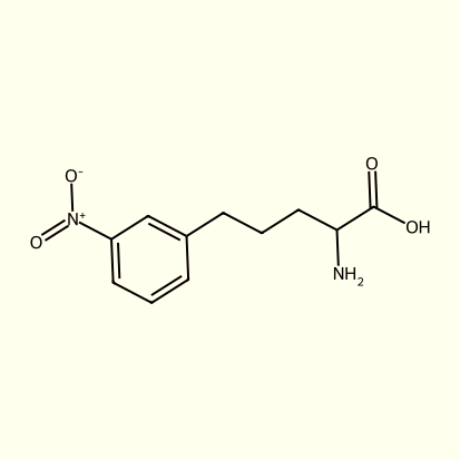 NC(CCCc1cccc([N+](=O)[O-])c1)C(=O)O